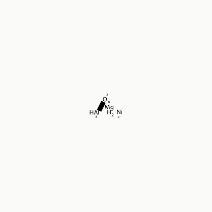 [MgH2].[Ni].[O]=[AlH]